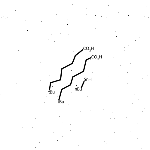 CC(C)(C)CCCCCC(=O)O.CC(C)(C)CCCCCC(=O)O.CCC[CH2][SnH]